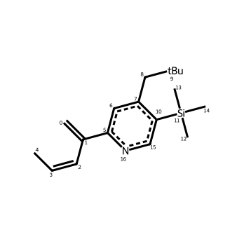 C=C(/C=C\C)c1cc(CC(C)(C)C)c([Si](C)(C)C)cn1